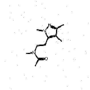 CC(=O)N(C)CCc1c(C)c(C)nn1C